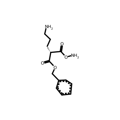 NCCC[C@H](C(=O)ON)C(=O)OCc1ccccc1